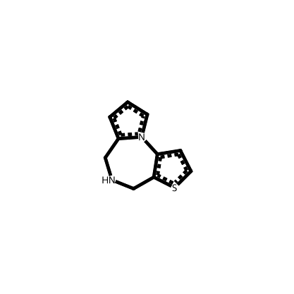 c1cc2n(c1)-c1ccsc1CNC2